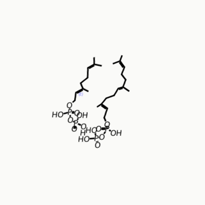 CC(C)=CCC/C(C)=C/COP(=O)(O)OP(=O)(O)O.CC(C)=CCCC(C)=CCCC(C)=CCOP(=O)(O)OP(=O)(O)O